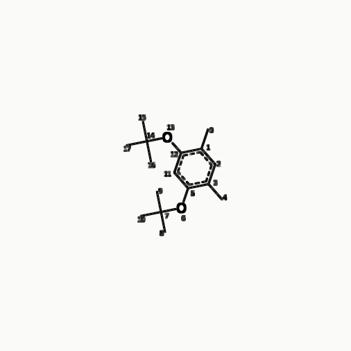 Cc1cc(C)c(OC(C)(C)C)cc1OC(C)(C)C